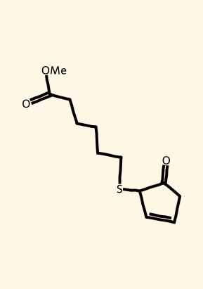 COC(=O)CCCCCSC1C=CCC1=O